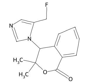 CC1(C)OC(=O)c2ccccc2C1n1cncc1CF